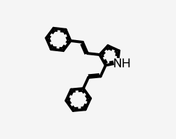 C(=Cc1cc[nH]c1C=Cc1ccccc1)c1ccccc1